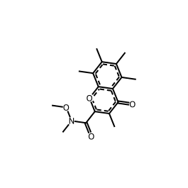 CON(C)C(=O)c1oc2c(C)c(C)c(C)c(C)c2c(=O)c1C